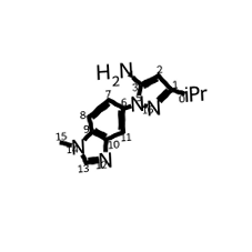 CC(C)c1cc(N)n(-c2ccc3c(c2)ncn3C)n1